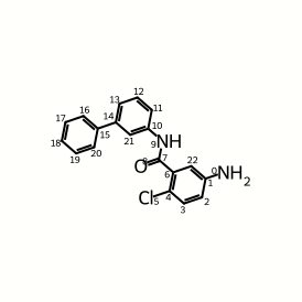 Nc1ccc(Cl)c(C(=O)Nc2cccc(-c3ccccc3)c2)c1